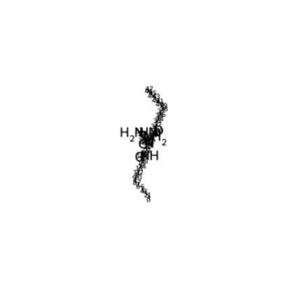 CCCCCCCC/C=C\CCCCCCCC(=O)NCCCCN(CCCNC(=O)CCCCCCC/C=C\CCCCCCCC)C(=O)[C@@H](N)CCN